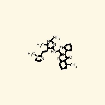 CCC(Nc1nc(N)nc(C)c1C=Cc1nccn1C)c1nc2cccc(C)c2c(=O)n1-c1ccccc1